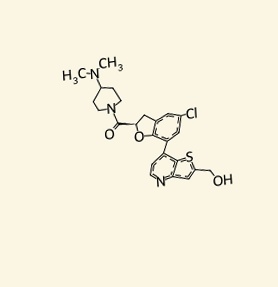 CN(C)C1CCN(C(=O)[C@H]2Cc3cc(Cl)cc(-c4ccnc5cc(CO)sc45)c3O2)CC1